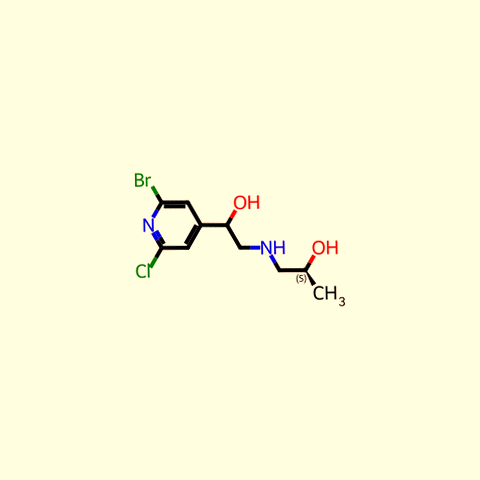 C[C@H](O)CNCC(O)c1cc(Cl)nc(Br)c1